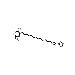 C1=NCCN1.CCCCCCCCCCCCCC/C=C/C(OC(C)=O)C(C)N